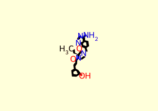 CCC[C@H]1C(=O)N(Cc2ccc3c(N)ncnc3c2)CCN1C(=O)C=Cc1cccc(O)c1